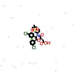 CCC(CS(=O)(=O)C(C)(C)C)N1C(=O)[C@H](CC(=O)O)O[C@H](c2cccc(Cl)c2)[C@H]1c1ccc(Cl)cc1F